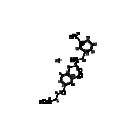 CCCCCCCCCCCCOc1ccc(CC(=O)NCc2ccc[n+](CCC)c2)c(Cl)c1.[I-]